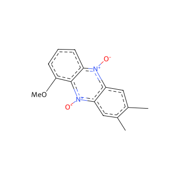 COc1cccc2c1[n+]([O-])c1cc(C)c(C)cc1[n+]2[O-]